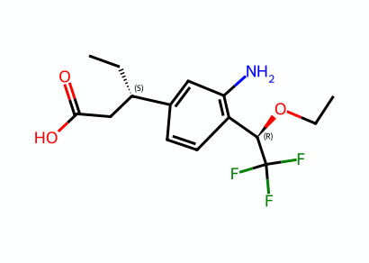 CCO[C@H](c1ccc([C@@H](CC)CC(=O)O)cc1N)C(F)(F)F